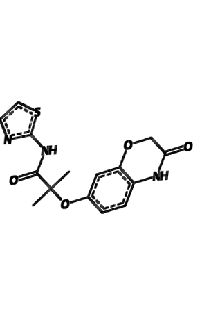 CC(C)(Oc1ccc2c(c1)OCC(=O)N2)C(=O)Nc1nccs1